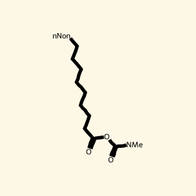 CCCCCCCCCCCCCCCCCC(=O)OC(=O)NC